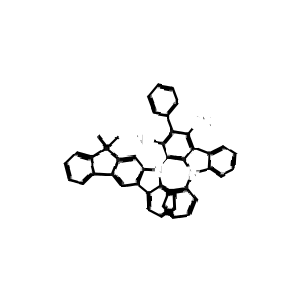 CC1(C)c2ccccc2-c2cc3c4ccccc4n(-c4c(C#N)c(-c5ccccc5)c(C#N)c5c6ccccc6n(-c6ccccc6)c45)c3cc21